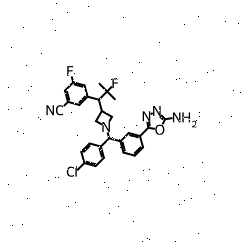 CC(C)(F)C(c1cc(F)cc(C#N)c1)C1CN(C(c2ccc(Cl)cc2)c2cccc(-c3nnc(N)o3)c2)C1